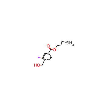 O=C(OCCC[SiH3])c1ccc(CO)c(I)c1